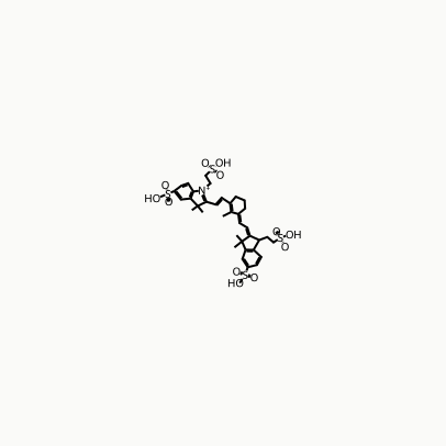 CC1=C(/C=C/C2=[N+](CCS(=O)(=O)O)c3ccc(S(=O)(=O)O)cc3C2(C)C)CCC/C1=C\C=C1\C(CCS(=O)(=O)O)c2ccc(S(=O)(=O)O)cc2C1(C)C